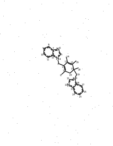 CC1=C(Cn2cnc3ccccc32)C(C)=C(C)C(C)(Cn2cnc3ccccc32)C1